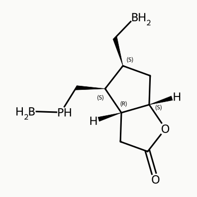 BC[C@H]1C[C@@H]2OC(=O)C[C@@H]2[C@H]1CPB